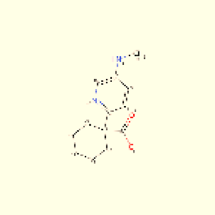 CNc1ccc(C2(C(=O)O)CCCCC2)nc1